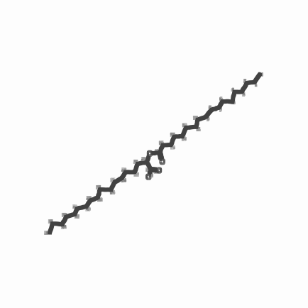 CCCCCCCCCCCCCCCCCC(=O)OC(CCCCCCCCCCCCCCCC)C([O])=O